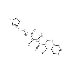 CCC1c2ccccc2CCN1C(=O)[C@H](O)[C@@H](O)C(=O)NCCc1cccs1